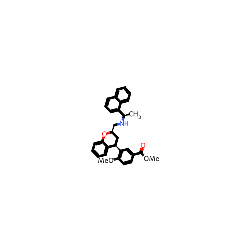 COC(=O)c1ccc(OC)c([C@@H]2C[C@H](CN[C@H](C)c3cccc4ccccc34)Oc3ccccc32)c1